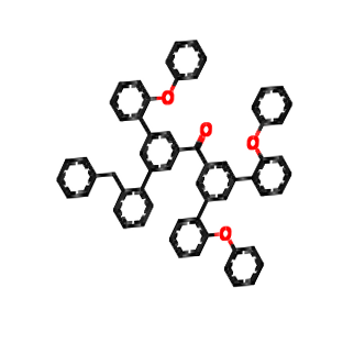 O=C(c1cc(-c2ccccc2Cc2ccccc2)cc(-c2ccccc2Oc2ccccc2)c1)c1cc(-c2ccccc2Oc2ccccc2)cc(-c2ccccc2Oc2ccccc2)c1